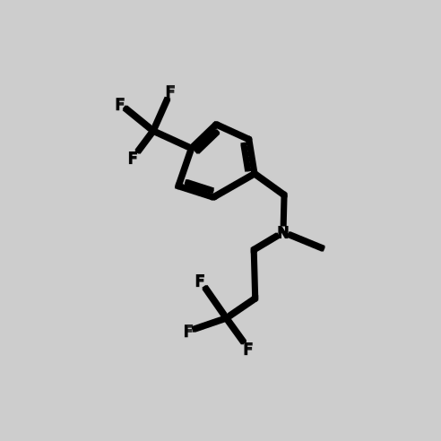 CN(CCC(F)(F)F)Cc1ccc(C(F)(F)F)cc1